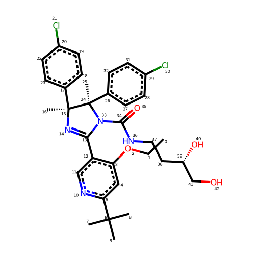 CCOc1cc(C(C)(C)C)ncc1C1=N[C@@](C)(c2ccc(Cl)cc2)[C@@](C)(c2ccc(Cl)cc2)N1C(=O)NCC[C@H](O)CO